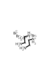 NCCN.NCCN.[Br-].[Br-].[Br-].[Co+3]